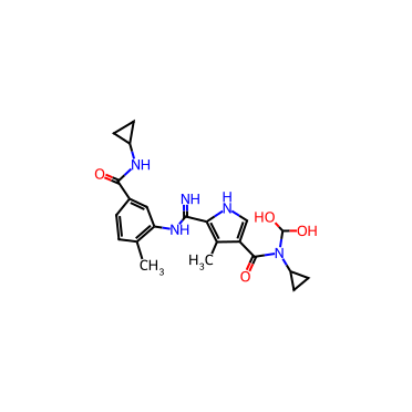 Cc1ccc(C(=O)NC2CC2)cc1NC(=N)c1[nH]cc(C(=O)N(C(O)O)C2CC2)c1C